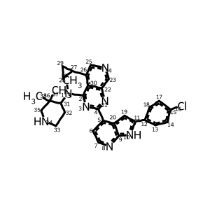 CN(c1nc(-c2ccnc3[nH]c(-c4ccc(Cl)cc4)cc23)nc2cncc(C3CC3)c12)C1CCNCC1(C)C